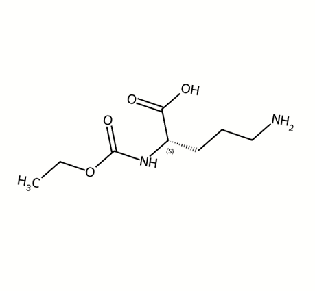 CCOC(=O)N[C@@H](CCCN)C(=O)O